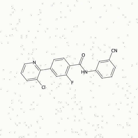 N#Cc1cccc(NC(=O)c2ccc(-c3ncccc3Cl)cc2F)c1